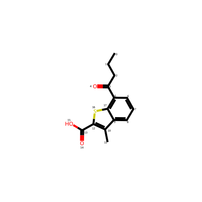 CCCC(=O)c1cccc2c(C)c(C(=O)O)sc12